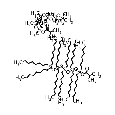 C=C(C)C(=O)O[Si](C)(C)O[Si](C)(C)O[Si](C)(C)O[Si](C)(C)O[Si](C)(C)O[Si](C)(C)C.C=C(C)C(=O)O[Si](CCCCCCCC)(CCCCCCCC)O[Si](CCCCCCCC)(CCCCCCCC)O[Si](CCCCCCCC)(CCCCCCCC)O[Si](CCCCCCCC)(CCCCCCCC)O[Si](CCCCCCCC)(CCCCCCCC)CCCCCCCC